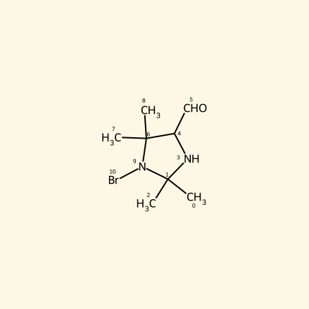 CC1(C)NC(C=O)C(C)(C)N1Br